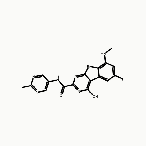 CNc1cc(F)cc2c1[nH]c1nc(C(=O)Nc3cnc(C)nc3)nc(O)c12